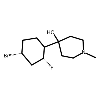 CN1CCC(O)(C2CC[C@@H](Br)C[C@H]2F)CC1